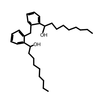 CCCCCCCCC(O)c1ccccc1Cc1ccccc1C(O)CCCCCCCC